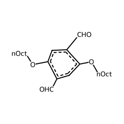 CCCCCCCCOc1cc(C=O)c(OCCCCCCCC)cc1C=O